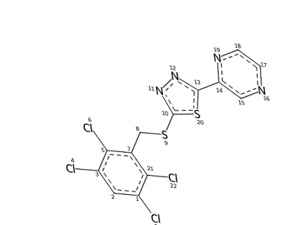 Clc1cc(Cl)c(Cl)c(CSc2nnc(-c3cnccn3)s2)c1Cl